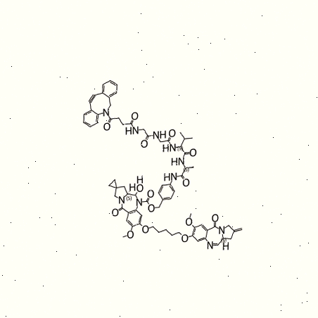 C=C1C[C@H]2C=Nc3cc(OCCCCCOc4cc5c(cc4OC)C(=O)N4CC6(CC6)C[C@H]4C(O)N5C(=O)OCc4ccc(NC(=O)[C@H](C)NC(=O)[C@@H](NC(=O)CNC(=O)CNC(=O)CCC(=O)N5Cc6ccccc6C#Cc6ccccc65)C(C)C)cc4)c(OC)cc3C(=O)N2C1